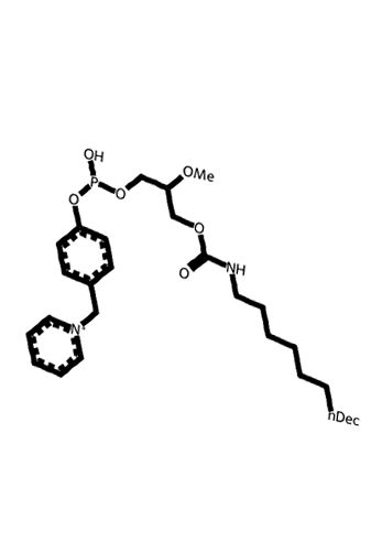 CCCCCCCCCCCCCCCCNC(=O)OCC(COP(O)Oc1ccc(C[n+]2ccccc2)cc1)OC